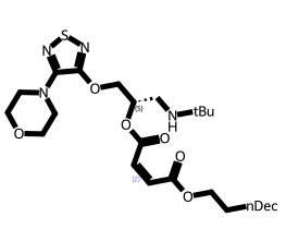 CCCCCCCCCCCCOC(=O)/C=C\C(=O)O[C@@H](CNC(C)(C)C)COc1nsnc1N1CCOCC1